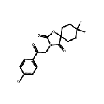 O=C(CN1C(=O)OC2(CCC(F)(F)CC2)C1=O)c1ccc(Br)cc1